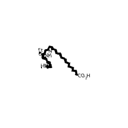 CCOc1cc(-c2ccc[nH]2)[nH]c1C=C1C=CC(CCCCCCCCCCCCC(=O)O)=N1